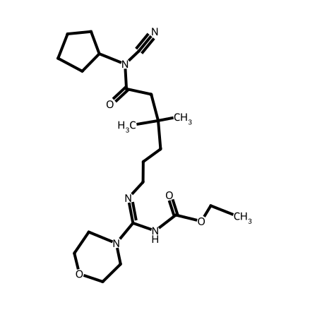 CCOC(=O)NC(=NCCCC(C)(C)CC(=O)N(C#N)C1CCCC1)N1CCOCC1